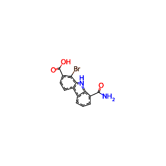 NC(=O)c1cccc2c1[nH]c1c(Br)c(C(=O)O)ccc12